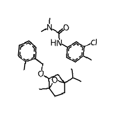 Cc1ccc(NC(=O)N(C)C)cc1Cl.Cc1ccccc1COC1CC2(C(C)C)CCC1(C)O2